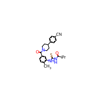 Cc1ccc(C(=O)N2CCC(c3ccc(C#N)cc3)CC2)cc1NC(=S)NC(=O)C(C)C